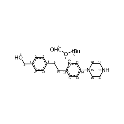 CC(C)(C)OC=O.OCc1ccc(CCc2ccc(N3CCNCC3)cn2)cc1